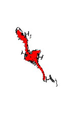 CCCCCCCCCCCCSCCOC(=O)Nc1ccc(-c2ccc(NC(=O)OCCSCCCCCCCCCCCC)c3c2C(=O)c2ccccc2C3=O)c2c1C(=O)c1ccccc1C2=O